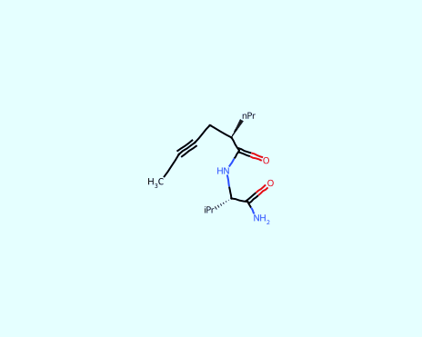 CC#CC[C@@H](CCC)C(=O)N[C@H](C(N)=O)C(C)C